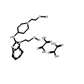 CCOCCN1CCC(Nc2nc3ccccc3n2CCOCC)CC1.O=C(O)C(=O)O.O=C(O)C(=O)O